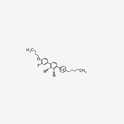 CCCCCC12CCC(c3ccc(-c4ccc(OCCCC)c(F)c4)c(C#N)c3C#N)(CC1)CC2